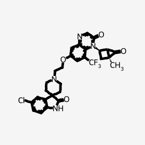 C[C@]12C[C@@H](n3c(=O)cnc4cc(OCCN5CCC6(CC5)C(=O)Nc5ccc(Cl)cc56)cc(C(F)(F)F)c43)C1C2=O